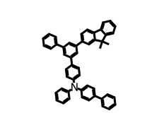 CC1(C)c2ccccc2-c2ccc(-c3cc(-c4ccccc4)cc(-c4ccc(N(c5ccccc5)c5ccc(-c6ccccc6)cc5)cc4)c3)cc21